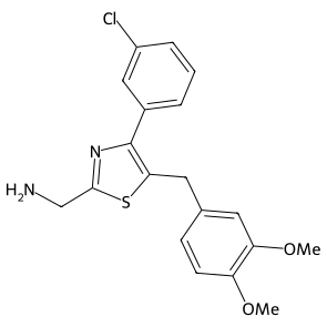 COc1ccc(Cc2sc(CN)nc2-c2cccc(Cl)c2)cc1OC